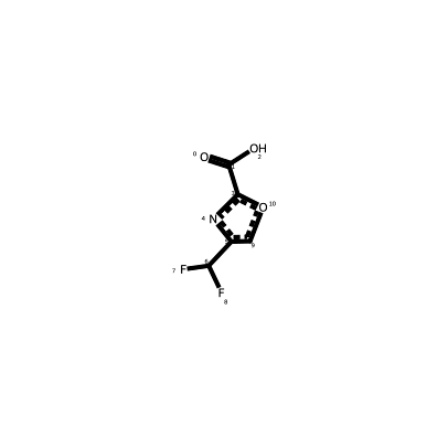 O=C(O)c1nc(C(F)F)co1